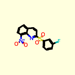 O=[N+]([O-])c1cccc2ccc(S(=O)(=O)c3cccc(F)c3)nc12